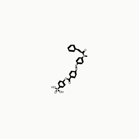 CN(C(=O)/C=C/c1ccccc1)c1ccc(/N=N/c2ccc(C(=O)Oc3ccc(P(=O)(O)O)cc3)cc2)cc1